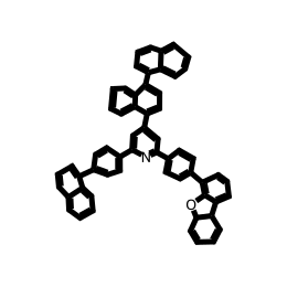 C1=CC2Oc3c(-c4ccc(-c5cc(-c6ccc(-c7cccc8ccccc78)c7ccccc67)cc(-c6ccc(-c7cccc8ccccc78)cc6)n5)cc4)cccc3C2C=C1